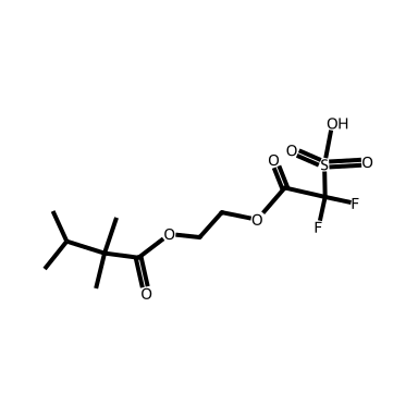 CC(C)C(C)(C)C(=O)OCCOC(=O)C(F)(F)S(=O)(=O)O